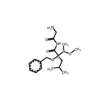 CON(C)[C@](CC(C)C)(OCc1ccccc1)C(=O)NC(=O)CN